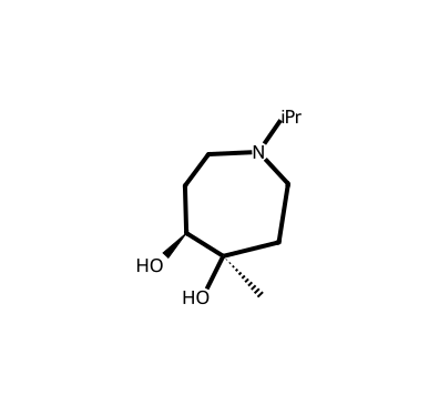 CC(C)N1CC[C@H](O)[C@](C)(O)CC1